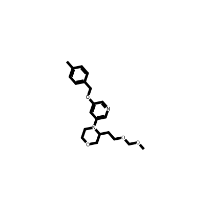 COCOCCC1COCCN1c1cncc(OCc2ccc(C)cc2)c1